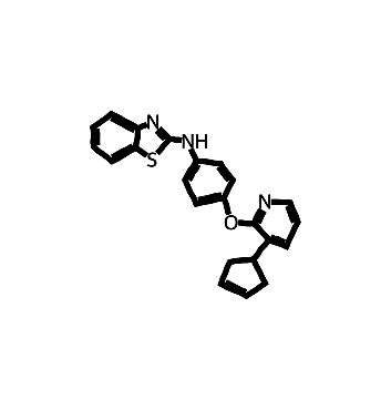 C1=CCC(c2cccnc2Oc2ccc(Nc3nc4ccccc4s3)cc2)C1